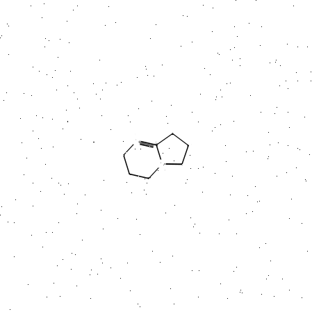 [CH]1CCN=C2CCCN12